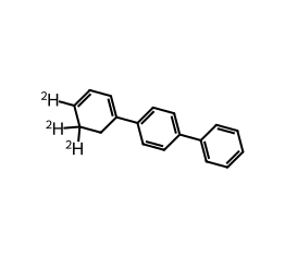 [2H]C1=CC=C(c2ccc(-c3ccccc3)cc2)CC1([2H])[2H]